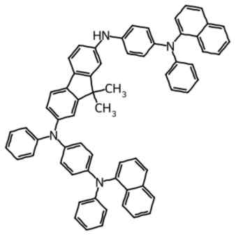 CC1(C)c2cc(Nc3ccc(N(c4ccccc4)c4cccc5ccccc45)cc3)ccc2-c2ccc(N(c3ccccc3)c3ccc(N(c4ccccc4)c4cccc5ccccc45)cc3)cc21